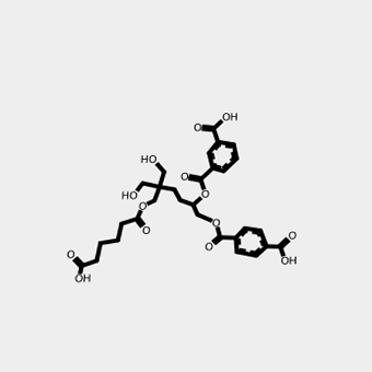 O=C(O)CCCCC(=O)OCC(CO)(CO)CCC(COC(=O)c1ccc(C(=O)O)cc1)OC(=O)c1cccc(C(=O)O)c1